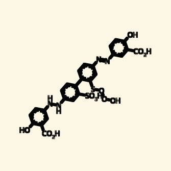 O=C(O)c1cc(N=Nc2ccc(-c3ccc(NNc4ccc(O)c(C(=O)O)c4)cc3S(=O)(=O)O)c(SOOO)c2)ccc1O